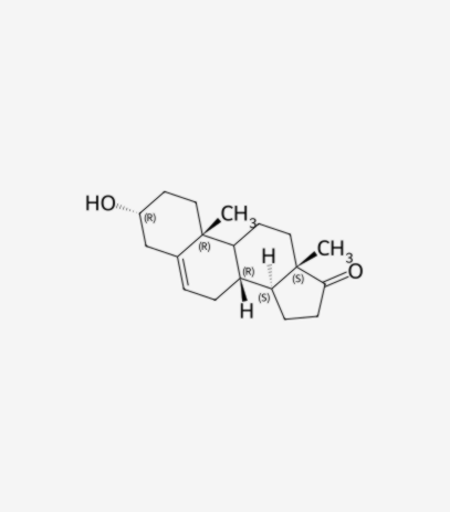 C[C@]12CC[C@@H](O)CC1=CC[C@@H]1C2CC[C@]2(C)C(=O)CC[C@@H]12